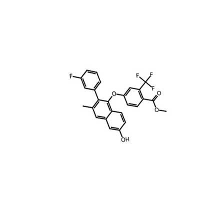 COC(=O)c1ccc(Oc2c(-c3cccc(F)c3)c(C)cc3cc(O)ccc23)cc1C(F)(F)F